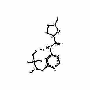 COCC(C)(C)N(C)Cc1cc(NC(=O)C2CCC(C)O2)ccn1